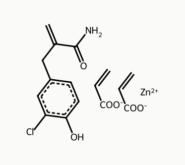 C=C(Cc1ccc(O)c(Cl)c1)C(N)=O.C=CC(=O)[O-].C=CC(=O)[O-].[Zn+2]